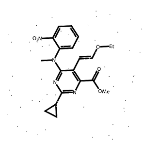 CCOC=Cc1c(C(=O)OC)nc(C2CC2)nc1N(C)c1ccccc1[N+](=O)[O-]